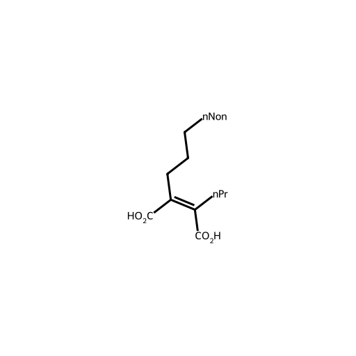 CCCCCCCCCCCC/C(C(=O)O)=C(\CCC)C(=O)O